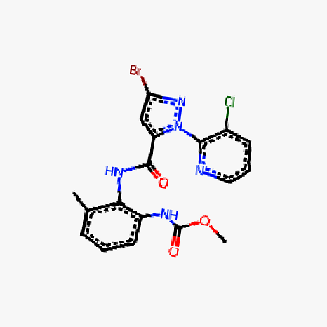 COC(=O)Nc1cccc(C)c1NC(=O)c1cc(Br)nn1-c1ncccc1Cl